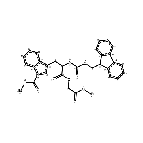 CC(C)(C)OC(=O)COC(=O)C(Cc1cn(C(=O)OC(C)(C)C)c2ccccc12)NC(=O)OCC1c2ccccc2-c2ccccc21